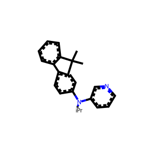 CC(C)N(c1cccnc1)c1ccc2c(c1)C(C)(C)c1ccccc1-2